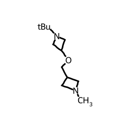 CN1CC(COC2CN(C(C)(C)C)C2)C1